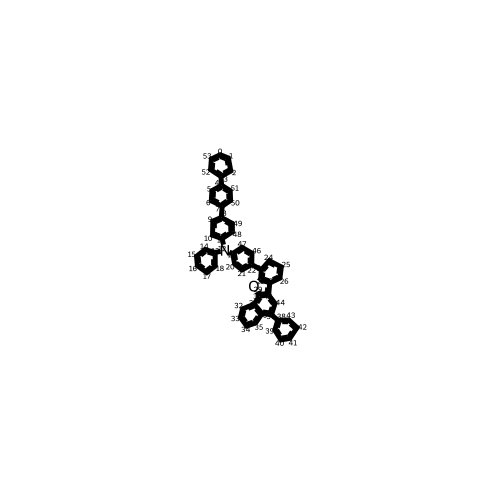 c1ccc(-c2ccc(-c3ccc(N(c4ccccc4)c4ccc(-c5cccc6c5oc5c7ccccc7c(-c7ccccc7)cc65)cc4)cc3)cc2)cc1